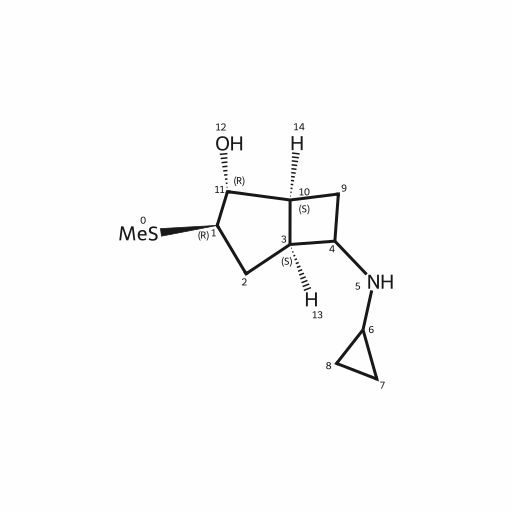 CS[C@@H]1C[C@@H]2C(NC3CC3)C[C@@H]2[C@H]1O